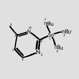 CCC[CH2][Sn]([CH2]CCC)([CH2]CCC)[c]1nccc(C)n1